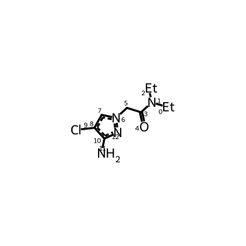 CCN(CC)C(=O)Cn1cc(Cl)c(N)n1